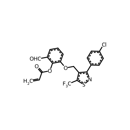 C=CC(=O)Oc1c(C=O)cccc1OCc1c(-c2ccc(Cl)cc2)nsc1C(F)(F)F